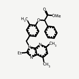 CCc1nc2c(C)cc(C)nc2n1Cc1ccc(OC(C(=O)OC)c2ccccc2)c(C)c1